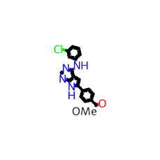 COC(=O)c1ccc(-c2cc3c(Nc4cccc(Cl)c4)ncnc3[nH]2)cc1